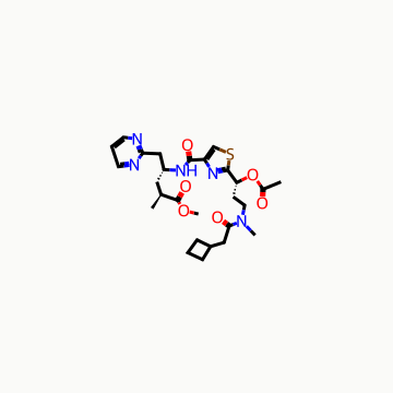 COC(=O)[C@@H](C)C[C@H](Cc1ncccn1)NC(=O)c1csc([C@@H](CCN(C)C(=O)CC2CCC2)OC(C)=O)n1